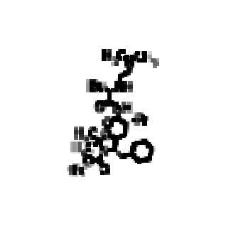 CC[C@H](C)[C@H](NCCN(C)C)C(=O)NC(=O)[C@@H](C[C@@H]1OC(C)(C)N(C(=O)OC(C)(C)C)[C@H]1CC1CCCCC1)C(C)C